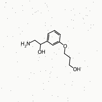 NCC(O)c1cccc(OCCCO)c1